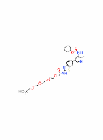 Cc1ncc(-c2ccc3nc(NC(=O)COCCOCCOCCOCC(=O)O)sc3c2)cc1NC(=O)OC1CCCCC1